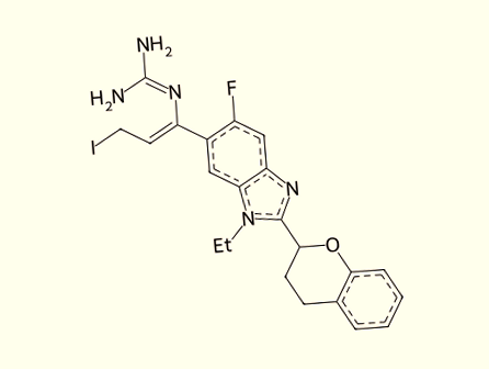 CCn1c(C2CCc3ccccc3O2)nc2cc(F)c(/C(=C/CI)N=C(N)N)cc21